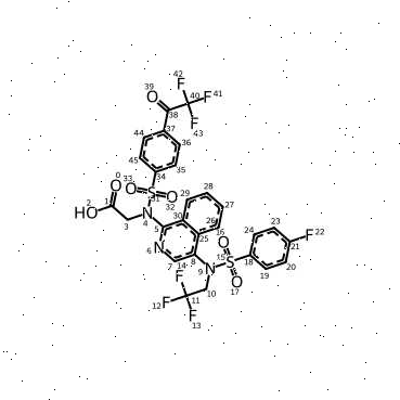 O=C(O)CN(c1ncc(N(CC(F)(F)F)S(=O)(=O)c2ccc(F)cc2)c2ccccc12)S(=O)(=O)c1ccc(C(=O)C(F)(F)F)cc1